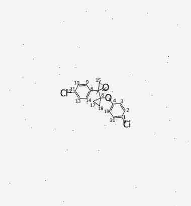 Clc1ccc(OC2(C3(c4ccc(Cl)cc4)CO3)CC2)cc1